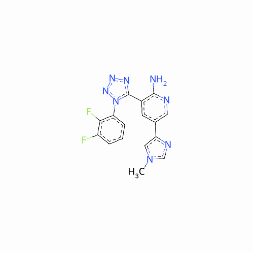 Cn1cnc(-c2cnc(N)c(-c3nnnn3-c3cccc(F)c3F)c2)c1